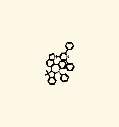 CC1(C)c2ccccc2C2C1c1ccc3ccn(-c4cc(-c5ccccc5)nc(-c5ccccc5)c4)c3c1-c1ccc#cc1N2c1ccccc1